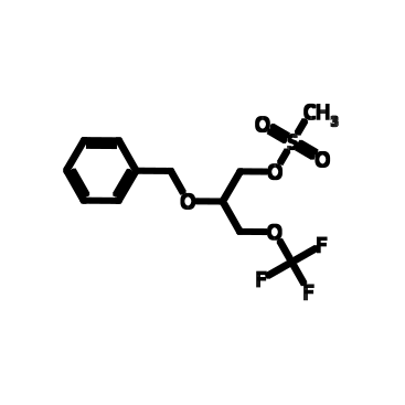 CS(=O)(=O)OCC(COC(F)(F)F)OCc1ccccc1